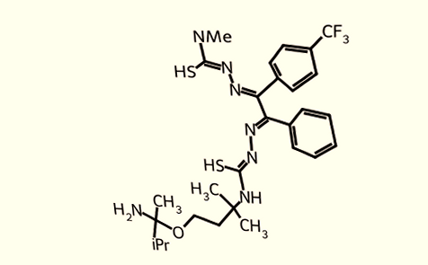 CN/C(S)=N/N=C(/C(=N/N=C(\S)NC(C)(C)CCOC(C)(N)C(C)C)c1ccccc1)c1ccc(C(F)(F)F)cc1